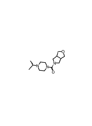 CC(C)N1CCN(C(=O)N2CC3COCC3C2)CC1